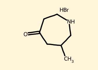 Br.CC1CNCCC(=O)C1